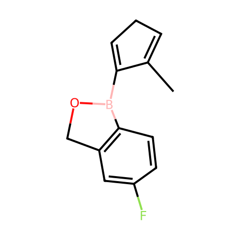 CC1=CCC=C1B1OCc2cc(F)ccc21